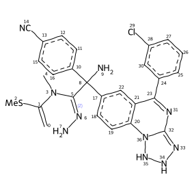 C=C(SC)N(C)/C(=N\N)C(N)(c1ccc(C#N)cc1)c1ccc2c(c1)C(c1cccc(Cl)c1)=NC1=NNNN12